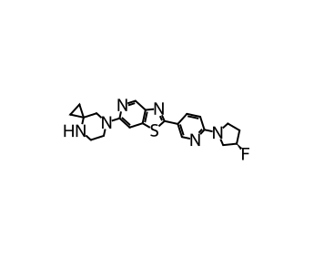 F[C@@H]1CCN(c2ccc(-c3nc4cnc(N5CCNC6(CC6)C5)cc4s3)cn2)C1